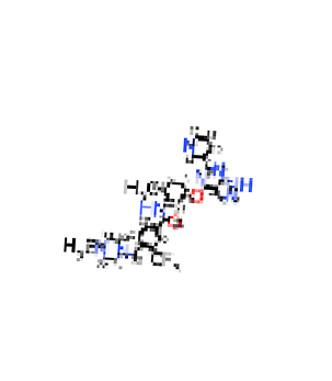 Cc1ccc(Oc2nc(-c3cccnc3)nc3[nH]ncc23)cc1NC(=O)c1ccc(CN2CCN(C)CC2)c(C(F)(F)F)c1